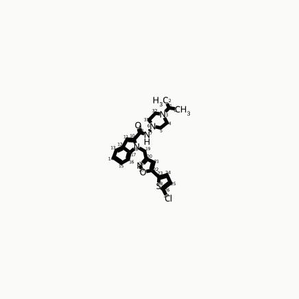 CC(C)N1CCN(NC(=O)c2cc3ccccc3n2Cc2cc(-c3ccc(Cl)s3)on2)CC1